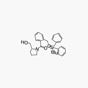 CC(C)(C)[Si](OCc1ccccc1C(=O)N1CCCC1CO)(c1ccccc1)c1ccccc1